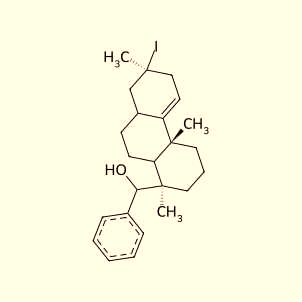 C[C@]1(I)CC=C2C(CCC3[C@](C)(C(O)c4ccccc4)CCC[C@@]23C)C1